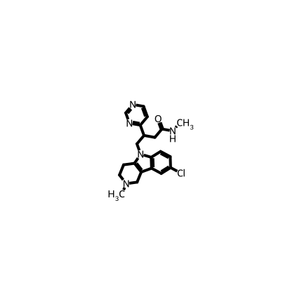 CNC(=O)CC(Cn1c2c(c3cc(Cl)ccc31)CN(C)CC2)c1ccncn1